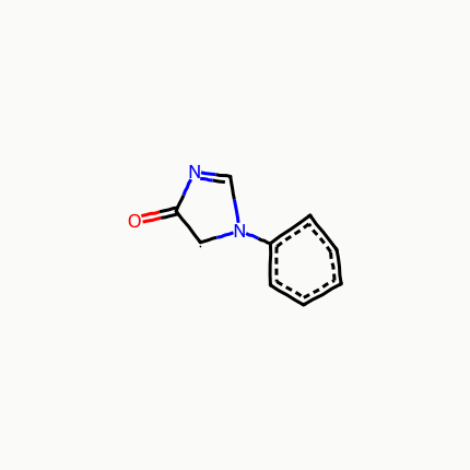 O=C1[CH]N(c2ccccc2)C=N1